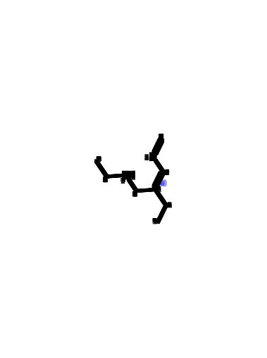 C=N/C=C(/CC)CNCC